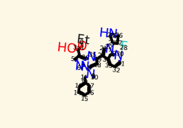 CCOC(O)c1cnn2c(N(C)Cc3ccccc3)cc(-c3cn(C4CNC[C@@H]4F)c4ncccc34)nc12